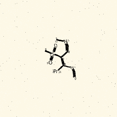 C=N/C(=C(\C=N/C)S(C)(=O)=O)C(C)C